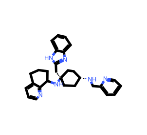 c1ccc(CN[C@H]2CC[C@](Cc3nc4ccccc4[nH]3)(NC3CCCc4cccnc43)CC2)nc1